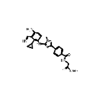 COC(=O)CNC(=O)c1ccc(-c2nc(Nc3ccc(N)c(C=N)c3C3CC3)n(C)n2)cc1